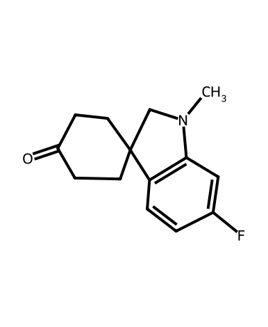 CN1CC2(CCC(=O)CC2)c2ccc(F)cc21